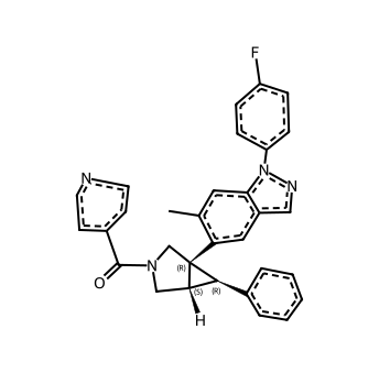 Cc1cc2c(cnn2-c2ccc(F)cc2)cc1[C@]12CN(C(=O)c3ccncc3)C[C@H]1[C@@H]2c1ccccc1